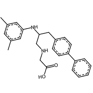 Cc1cc(C)cc(NC(CNCC(=O)O)Cc2ccc(-c3ccccc3)cc2)c1